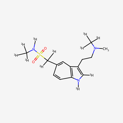 [2H]c1c(CCN(C)C([2H])([2H])[2H])c2cc(C([2H])([2H])S(=O)(=O)N([2H])C([2H])([2H])[2H])ccc2n1[2H]